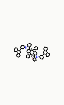 CC1(c2ccccc2)c2ccc3c(c2C(C)(c2ccccc2)c2ccc4c(c21)c1ccccc1n4-c1cccc(-c2cc4ccccc4c4ccccc24)c1)c1ccccc1n3-c1cccc(-c2cc3ccccc3c3ccccc23)c1